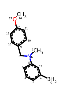 Bc1cccc(N(C)Cc2ccc(OC)cc2)c1